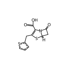 O=C(O)C1=C(Cc2cccs2)S[C@H]2CC(=O)N12